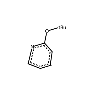 CC(C)(C)Oc1c[c]ccn1